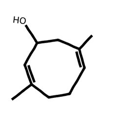 C/C1=C/C(O)C/C(C)=C\CC1